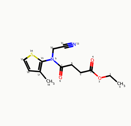 CCOC(=O)CCC(=O)N(CC#N)c1sccc1C